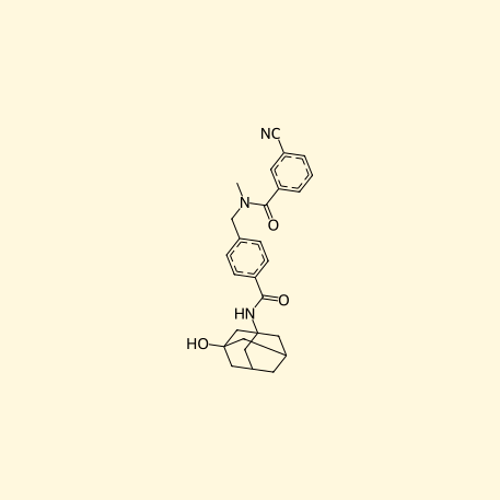 CN(Cc1ccc(C(=O)NC23CC4CC(CC(O)(C4)C2)C3)cc1)C(=O)c1cccc(C#N)c1